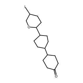 O=C1CCC(C2CCC(C3CCC(I)CO3)CC2)CC1